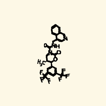 C[C@@H]1CN(C(=O)NCc2cncc3ccccc23)C(=O)O[C@H]1c1cc(C(F)(F)F)cc(C(F)(F)F)c1